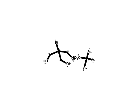 CC(=O)C(C(C)=O)(C(C)=O)C(=O)O.CCC(CO)(CO)CO